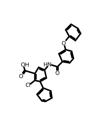 O=C(Nc1cc(C(=O)O)c(Cl)c(-c2ccccc2)c1)c1cccc(Oc2ccccc2)c1